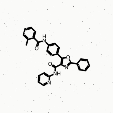 Cc1ccccc1C(=O)Nc1ccc(-c2oc(-c3ccccc3)nc2C(=O)Nc2ccccn2)cc1